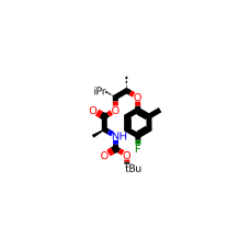 Cc1cc(F)ccc1O[C@@H](C)[C@H](OC(=O)[C@H](C)NC(=O)OC(C)(C)C)C(C)C